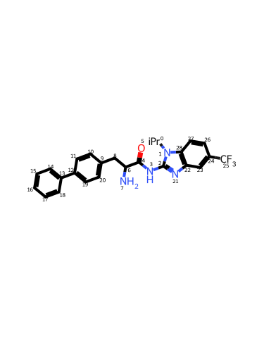 CC(C)n1c(NC(=O)C(N)Cc2ccc(-c3ccccc3)cc2)nc2cc(C(F)(F)F)ccc21